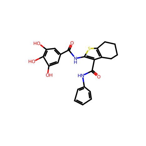 O=C(Nc1sc2c(c1C(=O)Nc1ccccc1)CCCC2)c1cc(O)c(O)c(O)c1